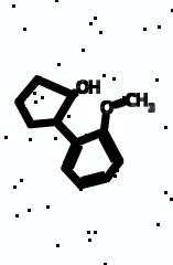 COc1ccccc1C1CCCC1O